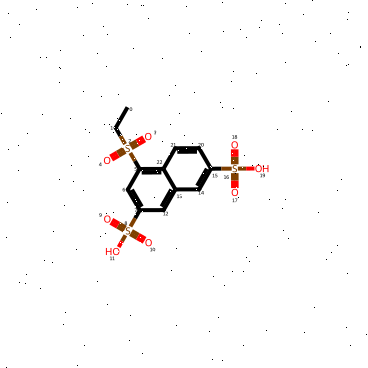 CCS(=O)(=O)c1cc(S(=O)(=O)O)cc2cc(S(=O)(=O)O)ccc12